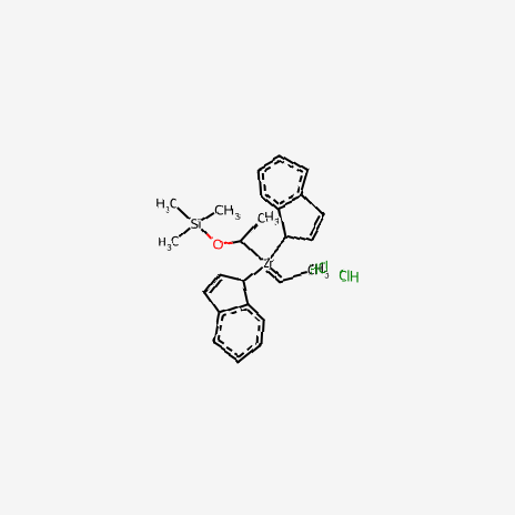 C[CH]=[Zr]([CH](C)O[Si](C)(C)C)([CH]1C=Cc2ccccc21)[CH]1C=Cc2ccccc21.Cl.Cl